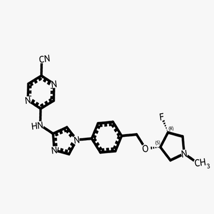 CN1C[C@@H](F)[C@@H](OCc2ccc(-n3cnc(Nc4cnc(C#N)cn4)c3)cc2)C1